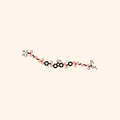 C=C(C)C(=O)OCCOCCOC(=O)Oc1ccc(C(=O)Oc2ccc3c(c2)C(C)c2cc(OC(=O)c4ccc(OC(=O)OCCOCCOC(=O)C(=C)C)cc4F)ccc2-3)c(F)c1